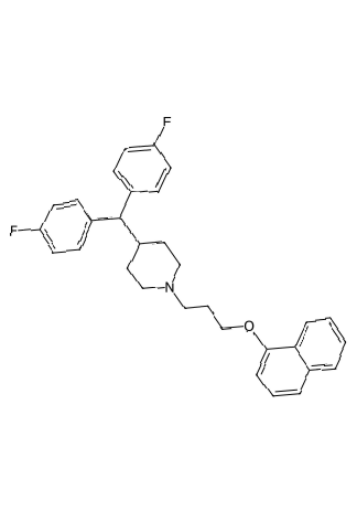 Fc1ccc(C(c2ccc(F)cc2)C2CCN(CCCOc3cccc4ccccc34)CC2)cc1